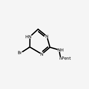 CCCCCNC1=N[C](Br)NC=N1